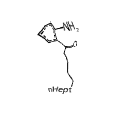 CCCCCCCCCCCC(=O)c1ccc[c]c1N